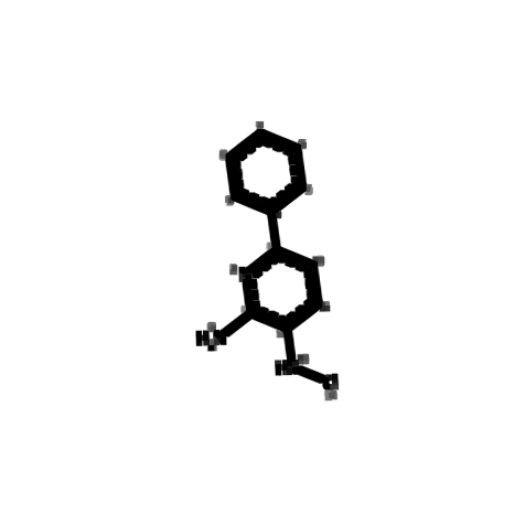 Nc1nc(-c2ccccc2)ccc1NCl